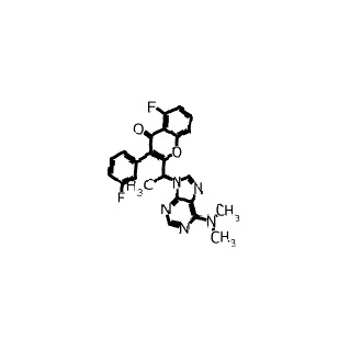 CC(c1oc2cccc(F)c2c(=O)c1-c1cccc(F)c1)n1cnc2c(N(C)C)ncnc21